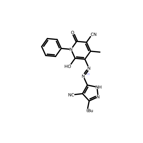 Cc1c(/N=N/c2[nH]nc(C(C)(C)C)c2C#N)c(O)n(-c2ccccc2)c(=O)c1C#N